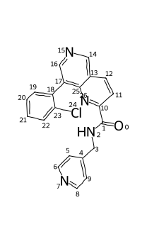 O=C(NCc1ccncc1)c1ccc2cncc(-c3ccccc3Cl)c2n1